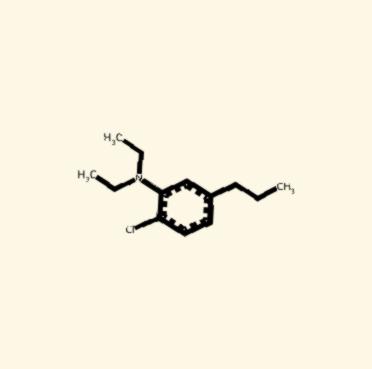 C[CH]Cc1ccc(Cl)c(N(CC)CC)c1